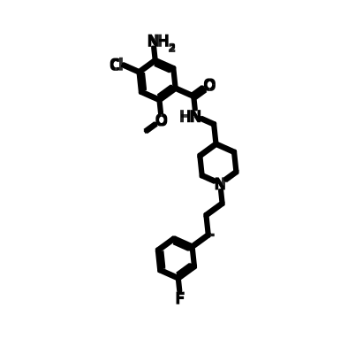 COc1cc(Cl)c(N)cc1C(=O)NCC1CCN(CC[CH]c2cccc(F)c2)CC1